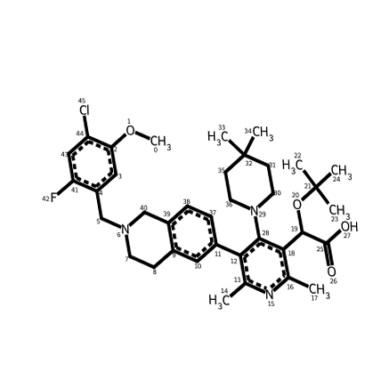 COc1cc(CN2CCc3cc(-c4c(C)nc(C)c(C(OC(C)(C)C)C(=O)O)c4N4CCC(C)(C)CC4)ccc3C2)c(F)cc1Cl